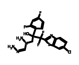 N/N=C\N(N)CC(O)(c1ccc(F)cc1F)C(F)(F)c1nc2ccc(Cl)cc2s1